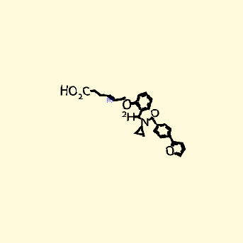 [2H]C(c1ccccc1OC/C=C/CCC(=O)O)N(C(=O)c1ccc(-c2ccco2)cc1)C1CC1